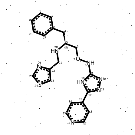 c1ccc(C[C@@H](CONc2nnc(-c3ccncc3)[nH]2)NCc2cscn2)cc1